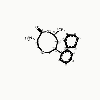 C[C@@H]1OC(=O)[C@@H](N)COC[C@H](c2ccccc2)[C@H]1c1ccccc1